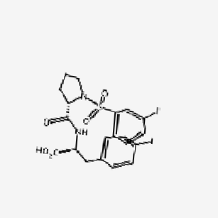 O=C(O)[C@H](Cc1ccc(I)cc1)NC(=O)[C@@H]1CCCN1S(=O)(=O)c1cccc(F)c1